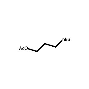 CCCCCCCOC(C)=O